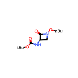 CCCCON1C[C@@H](NC(=O)OC(C)(C)C)C1=O